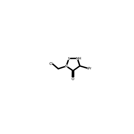 CC(C)C1NSN(CCl)C1=O